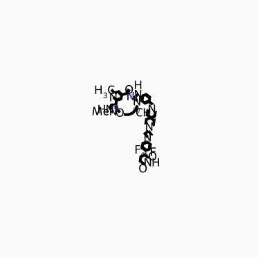 CN/C1=C(\C=N)c2cc(cc(C)n2)C(=O)/N=C2\Nc3ccc(CN4CCC5(CC4)CCN(C4CN(c6cc(F)c([C@H]7CCC(=O)NC7=O)c(F)c6)C4)CC5)cc3N2C[C@H](C)CCCO1